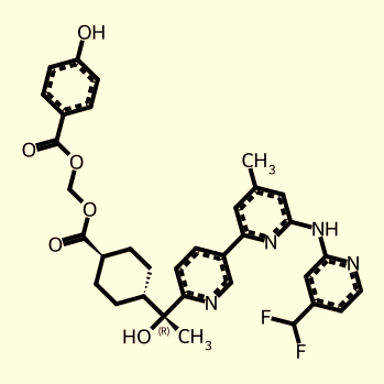 Cc1cc(Nc2cc(C(F)F)ccn2)nc(-c2ccc([C@](C)(O)[C@H]3CC[C@H](C(=O)OCOC(=O)c4ccc(O)cc4)CC3)nc2)c1